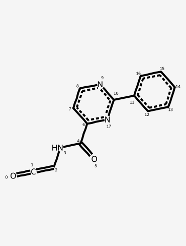 O=C=CNC(=O)c1ccnc(-c2ccccc2)n1